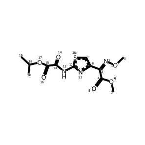 CON=C(C(=O)OC)c1csc(NC(=O)C(=O)OC(C)C)n1